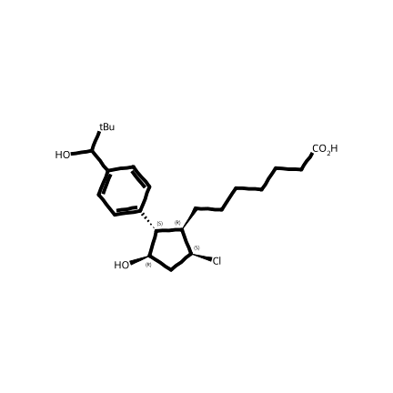 CC(C)(C)C(O)c1ccc([C@@H]2[C@@H](CCCCCCC(=O)O)[C@@H](Cl)C[C@H]2O)cc1